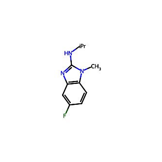 CC(C)Nc1nc2cc(F)ccc2n1C